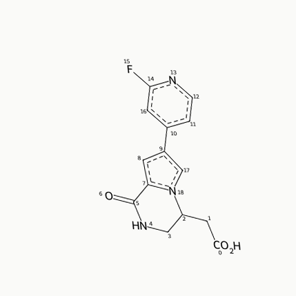 O=C(O)CC1CNC(=O)c2cc(-c3ccnc(F)c3)cn21